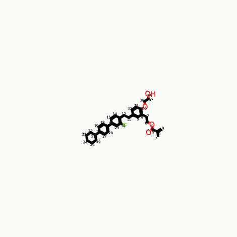 C=C(C)C(=O)OCCc1cc(CCc2ccc(-c3ccc(C4CCCCC4)cc3)cc2F)ccc1OCCO